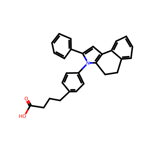 O=C(O)CCCc1ccc(-n2c(-c3ccccc3)cc3c2CCc2ccccc2-3)cc1